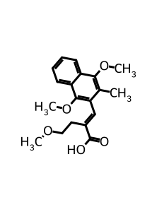 COCC/C(=C\c1c(C)c(OC)c2ccccc2c1OC)C(=O)O